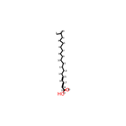 CC(C)CCCCCCCCCCCCC=CC=CC(=O)O